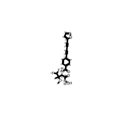 COC(C)(C(F)F)[C@H](NC(=O)c1ccc(C#CC#Cc2ccno2)cc1)C(=O)NO